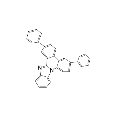 c1ccc(-c2ccc3c(c2)c2ccc(-c4ccccc4)cc2c2nc4ccccc4n32)cc1